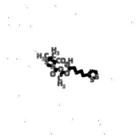 CC(OC(=O)CCCCC1CCSS1)OC(=O)N1CSC(C)(C)C1C(=O)O